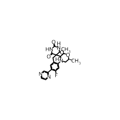 C[C@H]1CN2c3cc(F)c(-c4cnccn4)cc3CC3(C(=O)NC(=O)NC3=O)[C@@H]2[C@@H](C)O1